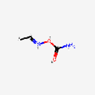 [CH2]C=NOC(N)=O